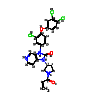 C=CC(=O)N1CC[C@@H](n2c(=O)n(-c3ccc(Oc4ccc(Cl)c(Cl)c4)c(Cl)c3)c3cnccc32)C1